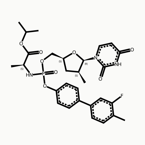 Cc1ccc(-c2ccc(OP(=O)(N[C@@H](C)C(=O)OC(C)C)OC[C@@H]3C[C@H](C)[C@H](n4ccc(=O)[nH]c4=O)O3)cc2)cc1F